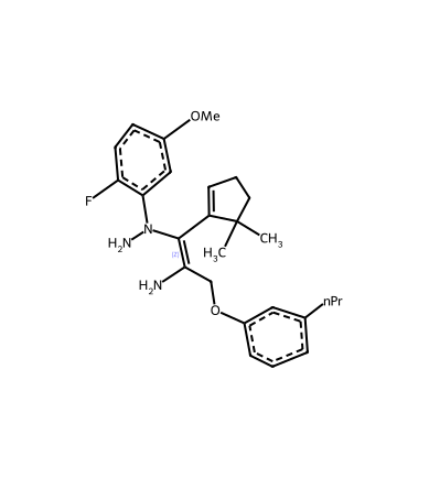 CCCc1cccc(OC/C(N)=C(\C2=CCCC2(C)C)N(N)c2cc(OC)ccc2F)c1